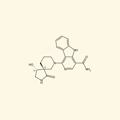 NC(=O)c1cnc(N2CCC[C@@]3(C2)C(=O)NC[C@@H]3O)c2c1[nH]c1ccccc12